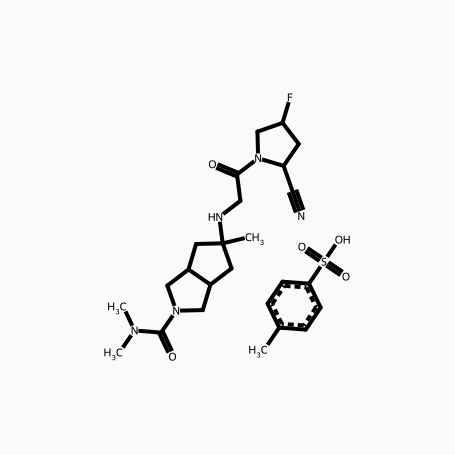 CN(C)C(=O)N1CC2CC(C)(NCC(=O)N3CC(F)CC3C#N)CC2C1.Cc1ccc(S(=O)(=O)O)cc1